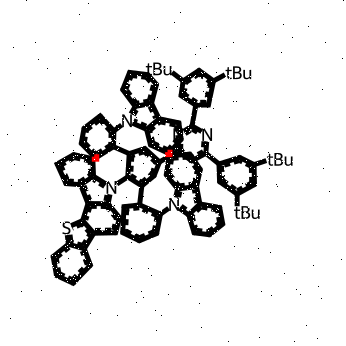 CC(C)(C)c1cc(-c2cc(-c3cc(-c4ccccc4-n4c5ccccc5c5ccccc54)c(-n4c5ccccc5c5c6sc7ccccc7c6ccc54)c(-c4ccccc4-n4c5ccccc5c5ccccc54)c3)nc(-c3cc(C(C)(C)C)cc(C(C)(C)C)c3)n2)cc(C(C)(C)C)c1